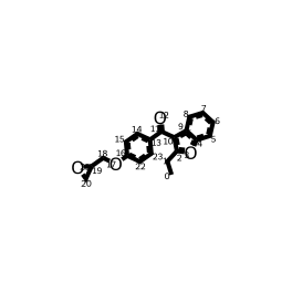 CCc1oc2ccccc2c1C(=O)c1ccc(OCC2CO2)cc1